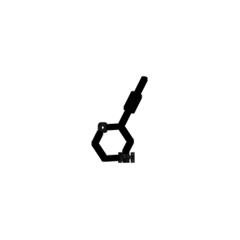 CC#CC1CNCCO1